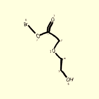 O=C(COCCO)OBr